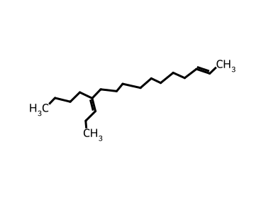 CC=CCCCCCCCCC(=CCC)CCCC